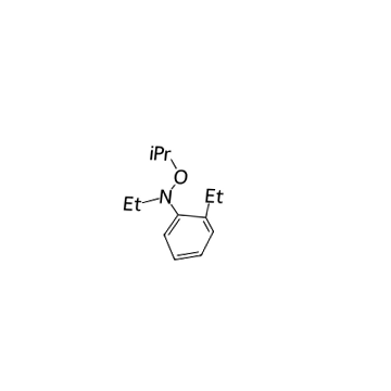 CCc1ccccc1N(CC)OC(C)C